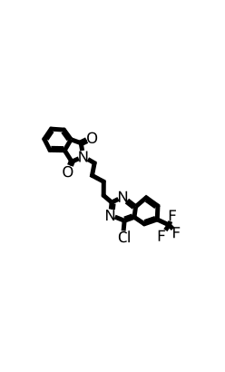 O=C1c2ccccc2C(=O)N1CCCCc1nc(Cl)c2cc(C(F)(F)F)ccc2n1